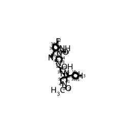 CC(=O)N1CCc2c(c(-c3ccc(I)cc3)nn2CC(O)CN2CCC(n3c(=O)[nH]c4c(F)ccc(C#N)c43)CC2)C1